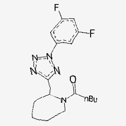 CCCCC(=O)N1CCCCC1c1nnn(-c2cc(F)cc(F)c2)n1